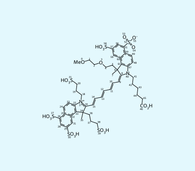 COCCOCCC1(C)\C(=C/C=C/C=C/C=C/C2=[N+](CCCS(=O)(=O)O)c3ccc4c(S(=O)(=O)O)cc(S(=O)(=O)O)cc4c3C2(C)CCCS(=O)(=O)O)N(CCCCCC(=O)O)c2ccc3c(S(=O)(=O)[O-])cc(S(=O)(=O)O)cc3c21